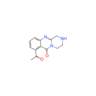 CC(=O)c1cccc2nc3n(c(=O)c12)CCNC3